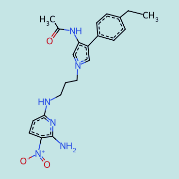 CCc1ccc(-c2cn(CCCNc3ccc([N+](=O)[O-])c(N)n3)cc2NC(C)=O)cc1